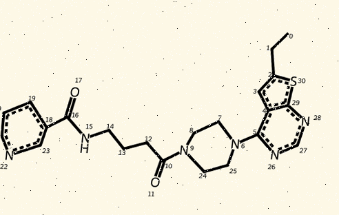 CCc1cc2c(N3CCN(C(=O)CCCNC(=O)c4cccnc4)CC3)ncnc2s1